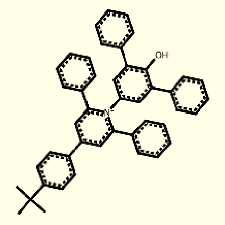 CC(C)(C)c1ccc(-c2cc(-c3ccccc3)[n+](-c3cc(-c4ccccc4)c(O)c(-c4ccccc4)c3)c(-c3ccccc3)c2)cc1